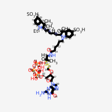 CCN1/C(=C/C=C/C=C/C2=[N+](CCCCCC(=O)NCC(C)(C)SSCOC3C[C@H](n4cnc5c(=O)[nH]c(N)nc54)O[C@@H]3COP(=O)(O)OP(=O)(O)OP(=O)(O)O)c3ccc(S(=O)(=O)O)cc3C2(C)C)C(C)(C)c2cc(S(=O)(=O)O)ccc21